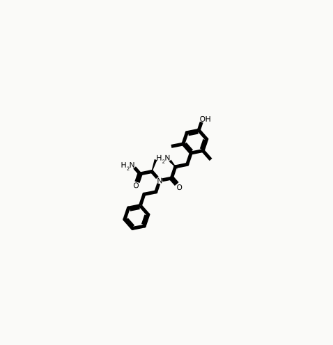 Cc1cc(O)cc(C)c1C[C@H](N)C(=O)N(CCc1ccccc1)[C@H](C)C(N)=O